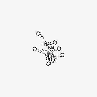 CC(CCNC(CNCC(NCCCOCc1ccccc1)OCc1ccccc1)OCc1ccccc1)OCc1ccccc1.CC(N)(CNCC(N)OCc1ccccc1)OCc1ccccc1